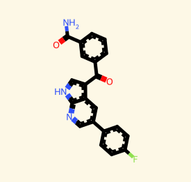 NC(=O)c1cccc(C(=O)c2c[nH]c3ncc(-c4ccc(F)cc4)cc23)c1